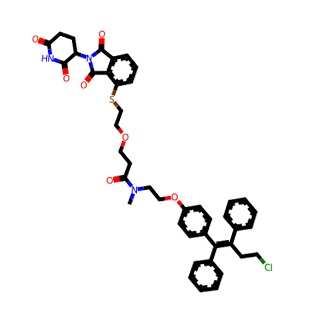 CN(CCOc1ccc(/C(=C(/CCCl)c2ccccc2)c2ccccc2)cc1)C(=O)CCOCCSc1cccc2c1C(=O)N(C1CCC(=O)NC1=O)C2=O